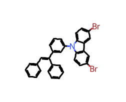 Brc1ccc2c(c1)c1cc(Br)ccc1n2-c1cccc(/C(=C/c2ccccc2)c2ccccc2)c1